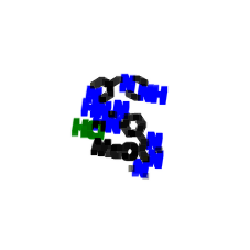 COc1c(-c2ccc3nc(Nc4cc(CN5CCNCC5)ccn4)[nH]c3c2)ncnc1N(C)C.Cl